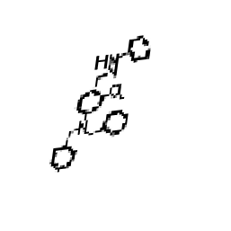 COc1cc(N(Cc2ccccc2)Cc2ccccc2)ccc1/C=N/Nc1ccccc1